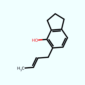 CC=CCc1ccc2c(c1O)CCC2